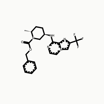 C[C@@H]1CC[C@@H](Nc2nccn3cc(C(F)(F)F)nc23)CN1C(=O)OCc1ccccc1